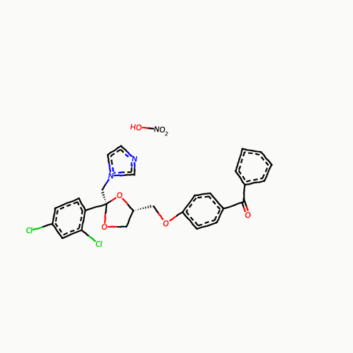 O=C(c1ccccc1)c1ccc(OC[C@@H]2CO[C@@](Cn3ccnc3)(c3ccc(Cl)cc3Cl)O2)cc1.O=[N+]([O-])O